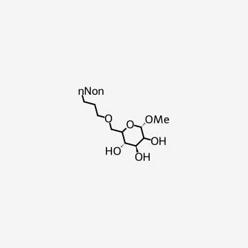 CCCCCCCCCCCCOCC1O[C@H](OC)C(O)[C@@H](O)[C@@H]1O